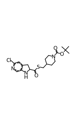 CC(C)(C)OC(=O)N1CCC(CSC(=O)C2Cc3cc(Cl)ncc3N2)CC1